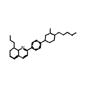 CCCCCC1CCC(c2ccc(C3=NC4C(=CCCC4CCC)C=C3)cc2)CC1C